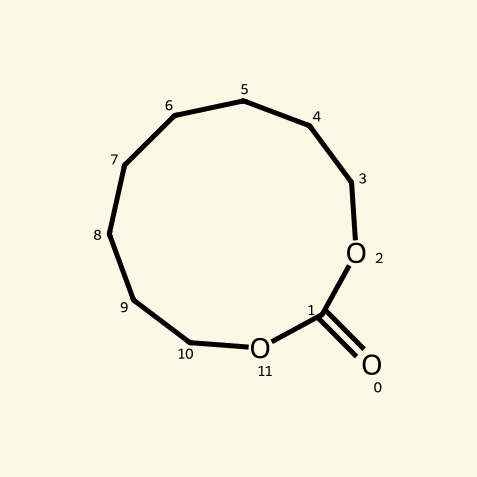 O=C1OCCCCCCCCO1